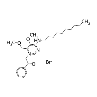 CCCCCCCCCCNc1nc[n+](CC(=O)c2ccccc2)c(COC)c1OC.[Br-]